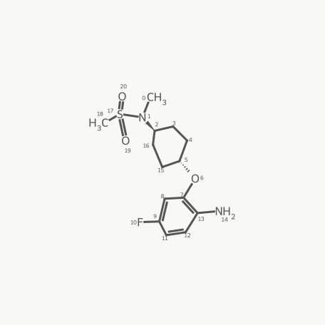 CN([C@H]1CC[C@H](Oc2cc(F)ccc2N)CC1)S(C)(=O)=O